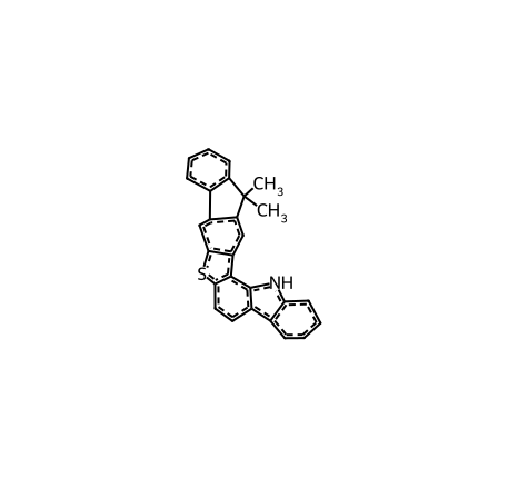 CC1(C)c2ccccc2-c2cc3sc4ccc5c6ccccc6[nH]c5c4c3cc21